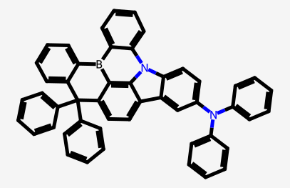 c1ccc(N(c2ccccc2)c2ccc3c(c2)c2ccc4c5c2n3-c2ccccc2B5c2ccccc2C4(c2ccccc2)c2ccccc2)cc1